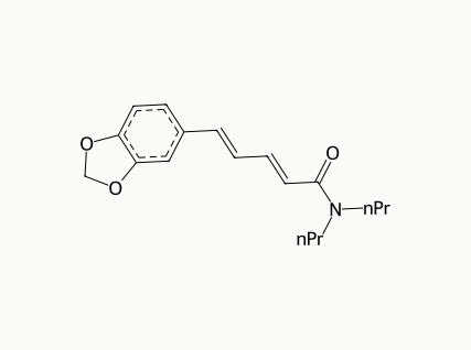 CCCN(CCC)C(=O)/C=C/C=Cc1ccc2c(c1)OCO2